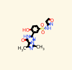 Cc1nc(C)n2nc(-c3cc(S(=O)(=O)Nc4ccon4)ccc3O)[nH]c(=O)c12